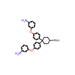 CCCCCCCCCC1CCC(c2ccc(Oc3cccc(N)c3)cc2)(c2ccc(Oc3cccc(N)c3)cc2)CC1